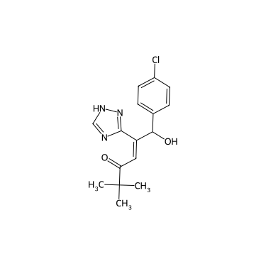 CC(C)(C)C(=O)C=C(c1nc[nH]n1)C(O)c1ccc(Cl)cc1